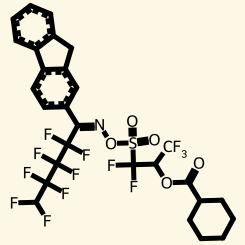 O=C(OC(C(F)(F)F)C(F)(F)S(=O)(=O)ON=C(c1ccc2c(c1)Cc1ccccc1-2)C(F)(F)C(F)(F)C(F)(F)C(F)F)C1CCCCC1